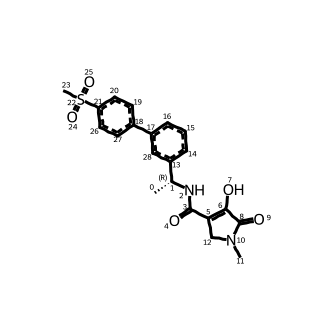 C[C@@H](NC(=O)C1=C(O)C(=O)N(C)C1)c1cccc(-c2ccc(S(C)(=O)=O)cc2)c1